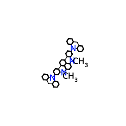 CN1c2cc(N3c4ccccc4Cc4ccccc43)ccc2-c2ccc3c4c(ccc1c24)N(C)c1cc(N2c4ccccc4Cc4ccccc42)ccc1-3